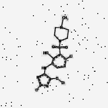 CCOc1n[s+]([O-])nc1Nc1ccc(Cl)c(S(=O)(=O)N2CCN(C)CC2)c1O